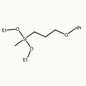 CCCOCCC[Si](C)(OCC)OCC